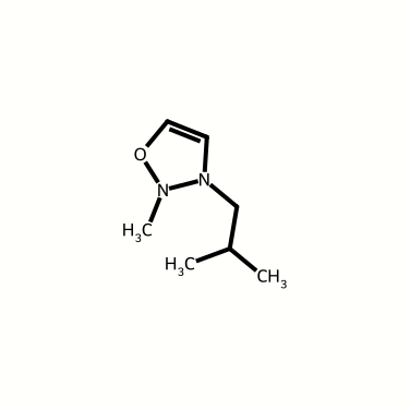 CC(C)CN1C=CON1C